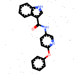 O=C(Nc1ccc(Oc2ccccc2)nc1)c1c[nH]c2ccccc12